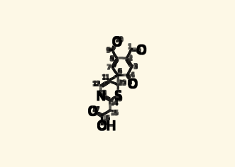 O=CC1=CC(=O)C2(C=C1C=O)C1=CN=C(CC(=O)O)SC12